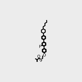 C=C(C)C(=O)N(C)CCOc1ccc(-c2ccc(-c3ccc(C4CCC(CCCCC)CC4)cc3)cc2F)cc1